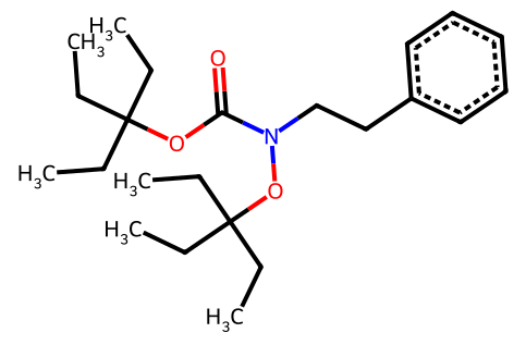 CCC(CC)(CC)OC(=O)N(CCc1ccccc1)OC(CC)(CC)CC